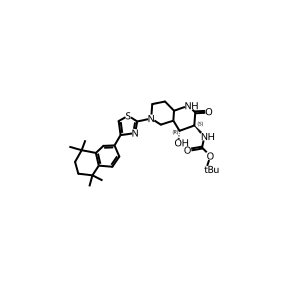 CC(C)(C)OC(=O)N[C@@H]1C(=O)NC2CCN(c3nc(-c4ccc5c(c4)C(C)(C)CCC5(C)C)cs3)CC2[C@H]1O